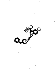 COc1ccc2c(c1)c(C(=O)N(C)OC)cn2CCCN1CCC(Cc2ccccc2)CC1